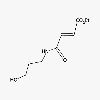 CCOC(=O)/C=C/C(=O)NCCCO